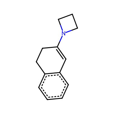 C1=C(N2CCC2)CCc2ccccc21